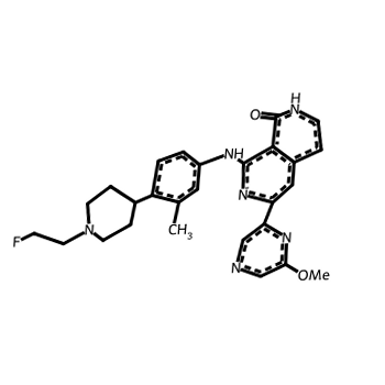 COc1cncc(-c2cc3cc[nH]c(=O)c3c(Nc3ccc(C4CCN(CCF)CC4)c(C)c3)n2)n1